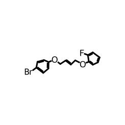 Fc1ccccc1OCC=CCOc1ccc(Br)cc1